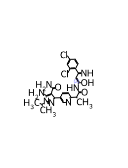 CC(C(=O)N/C(O)=C/C(=N)c1ccc(Cl)cc1Cl)c1ccc(-c2nn(C(C)C)c(N)c2C(N)=O)cn1